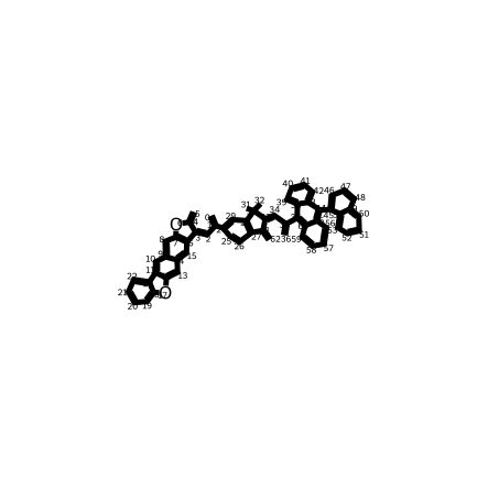 C=C(/C=c1\c(=C)oc2cc3cc4c(cc3cc12)oc1ccccc14)c1ccc2c(c1)C(C)(C)/C(=C/C(=C)c1c3ccccc3c(-c3cccc4ccccc34)c3ccccc13)C2=C